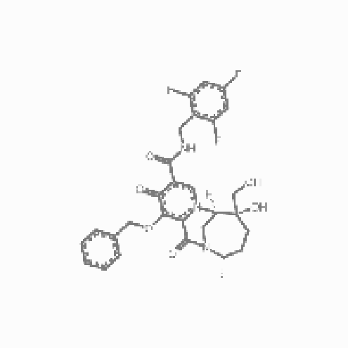 C[C@H]1CC[C@@](O)(CO)[C@H]2CN1C(=O)c1c(OCc3ccccc3)c(=O)c(C(=O)NCc3c(F)cc(F)cc3F)cn12